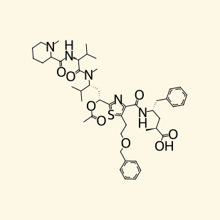 CC(=O)O[C@H](C[C@H](C(C)C)N(C)C(=O)[C@@H](NC(=O)C1CCCCN1C)C(C)C)c1nc(C(=O)N[C@H](Cc2ccccc2)C[C@H](C)C(=O)O)c(CCOCc2ccccc2)s1